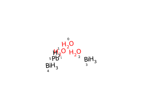 O.O.O.[BiH3].[BiH3].[PbH2]